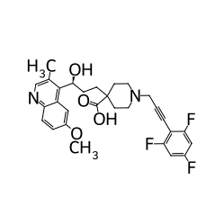 COc1ccc2ncc(C)c([C@@H](O)CCC3(C(=O)O)CCN(CC#Cc4c(F)cc(F)cc4F)CC3)c2c1